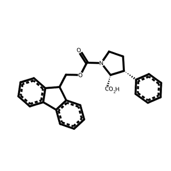 O=C(O)[C@H]1[C@@H](c2ccccc2)CCN1C(=O)OCC1c2ccccc2-c2ccccc21